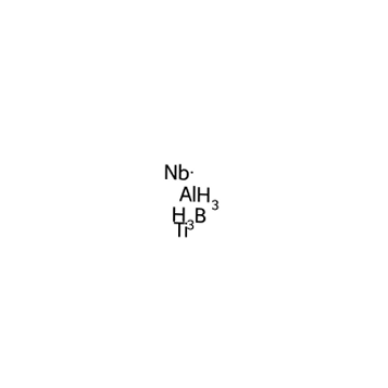 B.[AlH3].[Nb].[Ti]